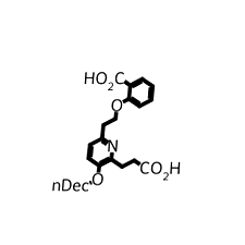 CCCCCCCCCCOc1ccc(CCOc2ccccc2C(=O)O)nc1CCC(=O)O